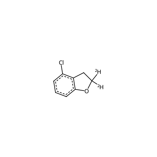 [2H]C1([2H])Cc2c(Cl)cccc2O1